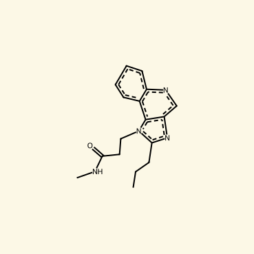 CCCc1nc2cnc3ccccc3c2n1CCC(=O)NC